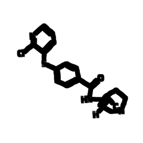 O=C(N[C@H]1CN2CCC1CC2)c1ccc(Sc2cccnc2Cl)cc1